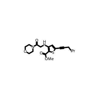 COC(=O)c1sc(C#CCC(C)C)cc1NCC(=O)N1CCOCC1